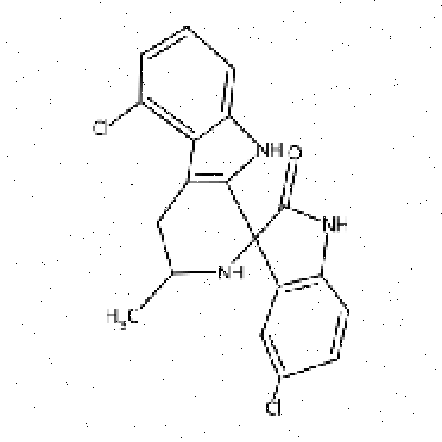 CC1Cc2c([nH]c3cccc(Cl)c23)C2(N1)C(=O)Nc1ccc(Cl)cc12